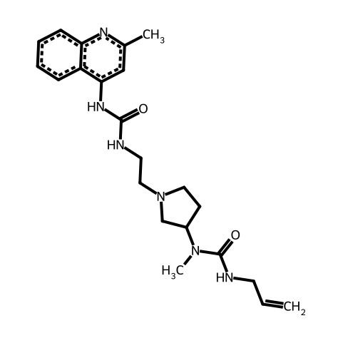 C=CCNC(=O)N(C)C1CCN(CCNC(=O)Nc2cc(C)nc3ccccc23)C1